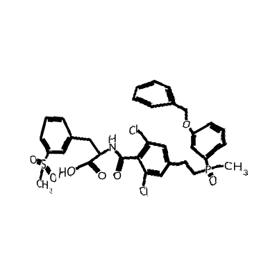 CP(=O)(CCc1cc(Cl)c(C(=O)NC(Cc2cccc(S(C)(=O)=O)c2)C(=O)O)c(Cl)c1)c1cccc(OCc2ccccc2)c1